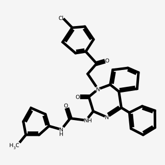 Cc1cccc(NC(=O)NC2N=C(c3ccccc3)c3ccccc3N(CC(=O)c3ccc(Cl)cc3)C2=O)c1